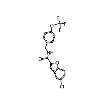 O=C(NCc1ccc(OC(F)(F)F)cc1)c1cc2cc(Cl)ccc2o1